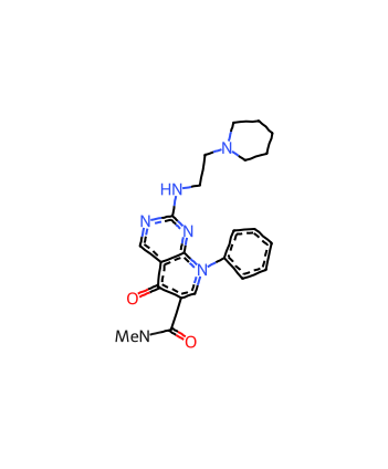 CNC(=O)c1cn(-c2ccccc2)c2nc(NCCN3CCCCC3)ncc2c1=O